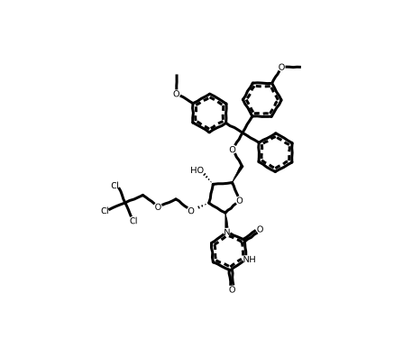 COc1ccc(C(OC[C@H]2O[C@@H](n3ccc(=O)[nH]c3=O)[C@H](OCOCC(Cl)(Cl)Cl)[C@@H]2O)(c2ccccc2)c2ccc(OC)cc2)cc1